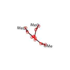 COC(=O)/C=C/c1ccc(OCCCCCCCCCC(=O)OCC(COC(=O)CCCCCCCCCOc2ccc(/C=C/C(=O)OC)cc2)OC(=O)CCCCCCCCCOc2ccc(/C=C/C(=O)OC)cc2)cc1